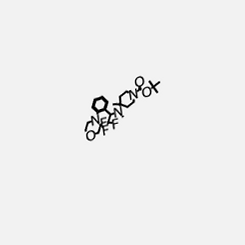 CN(C(c1ccccc1N1CCOCC1)C(F)(F)F)C1(C)CCN(C(=O)OC(C)(C)C)CC1